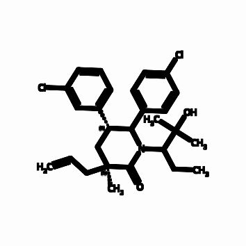 C=CC[C@@]1(C)C[C@H](c2cccc(Cl)c2)C(c2ccc(Cl)cc2)N(C(CC)C(C)(C)O)C1=O